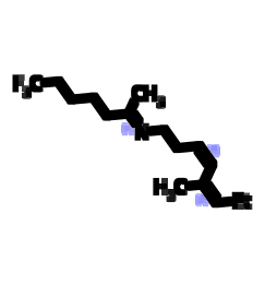 CC/C=C(C)\C=C/CC/N=C(\C)CCCCC(F)(F)F